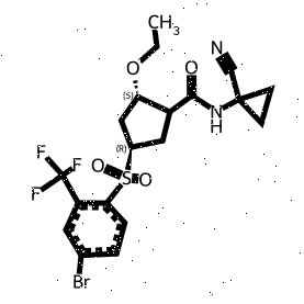 CCO[C@H]1C[C@H](S(=O)(=O)c2ccc(Br)cc2C(F)(F)F)CC1C(=O)NC1(C#N)CC1